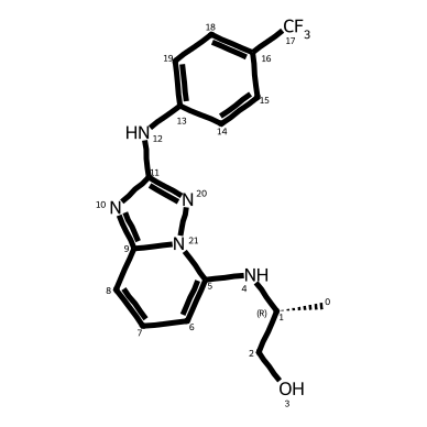 C[C@H](CO)Nc1cccc2nc(Nc3ccc(C(F)(F)F)cc3)nn12